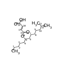 CCCCCC(CCCCCC(C)C)OC(=O)C=CC(=O)O